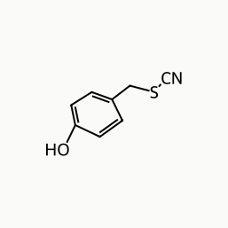 N#CSCc1ccc(O)cc1